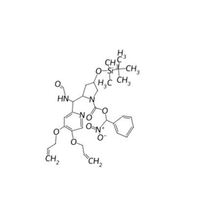 C=CCOc1cnc(C(NC=O)C2CC(O[Si](C)(C)C(C)(C)C)CN2C(=O)OC(c2ccccc2)[N+](=O)[O-])cc1OCC=C